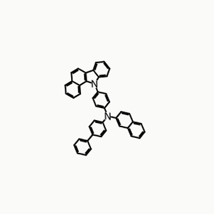 c1ccc(-c2ccc(N(c3ccc(-n4c5ccccc5c5ccc6ccccc6c54)cc3)c3ccc4ccccc4c3)cc2)cc1